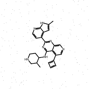 Cc1cc2c(-c3nc(NC4CCNCC4C)c4c(C5=CC=C5)cncc4n3)ccnc2[nH]1